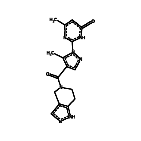 Cc1cc(=O)[nH]c(-n2ncc(C(=O)N3CCc4[nH]ncc4C3)c2C)n1